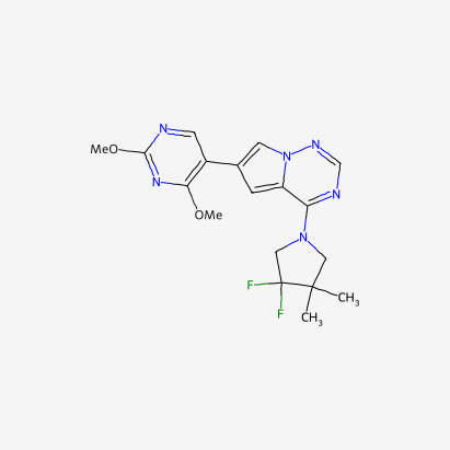 COc1ncc(-c2cc3c(N4CC(C)(C)C(F)(F)C4)ncnn3c2)c(OC)n1